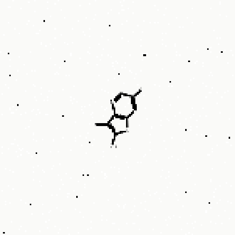 CCc1c(C(C)(C)C)sc2cc(F)cnc12